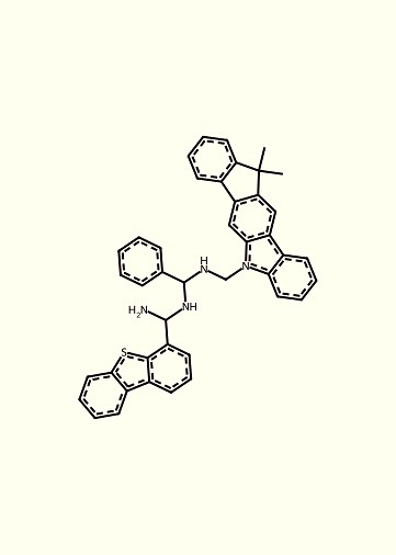 CC1(C)c2ccccc2-c2cc3c(cc21)c1ccccc1n3CNC(NC(N)c1cccc2c1sc1ccccc12)c1ccccc1